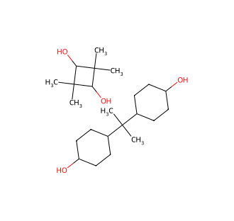 CC(C)(C1CCC(O)CC1)C1CCC(O)CC1.CC1(C)C(O)C(C)(C)C1O